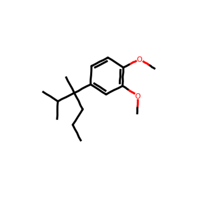 CCCC(C)(c1ccc(OC)c(OC)c1)C(C)C